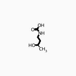 C[C@@H](O)CCNC(=O)O